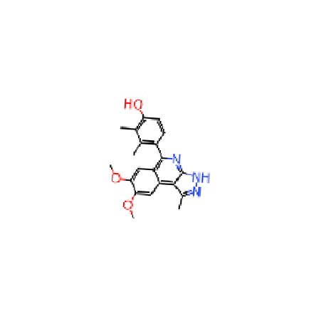 COc1cc2c(-c3ccc(O)c(C)c3C)nc3[nH]nc(C)c3c2cc1OC